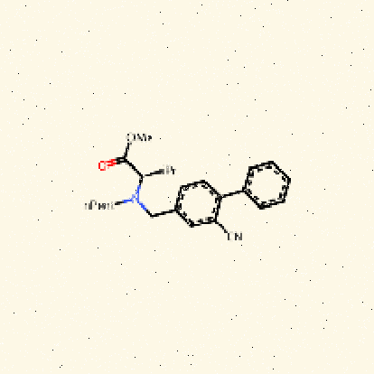 CCCCCN(Cc1ccc(-c2ccccc2)c(C#N)c1)[C@@H](C(=O)OC)C(C)C